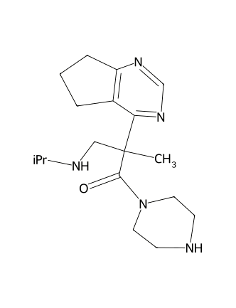 CC(C)NCC(C)(C(=O)N1CCNCC1)c1ncnc2c1CCC2